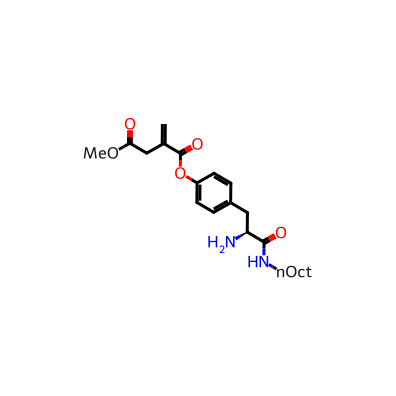 C=C(CC(=O)OC)C(=O)Oc1ccc(C[C@H](N)C(=O)NCCCCCCCC)cc1